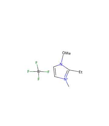 CCc1n(OC)cc[n+]1C.F[B-](F)(F)F